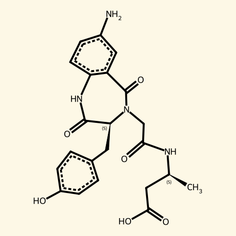 C[C@@H](CC(=O)O)NC(=O)CN1C(=O)c2cc(N)ccc2NC(=O)[C@@H]1Cc1ccc(O)cc1